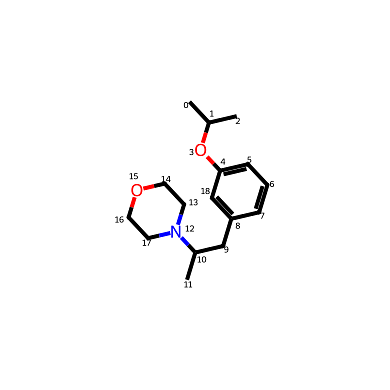 CC(C)Oc1cccc(CC(C)N2CCOCC2)c1